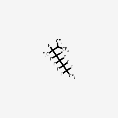 FC(F)(F)[C](C(F)(F)F)C(F)(C(F)(F)F)C(F)(F)C(F)(F)C(F)(F)C(F)(F)C(F)(F)F